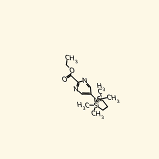 CCOC(=O)c1ncc(N2[Si](C)(C)CC[Si]2(C)C)cn1